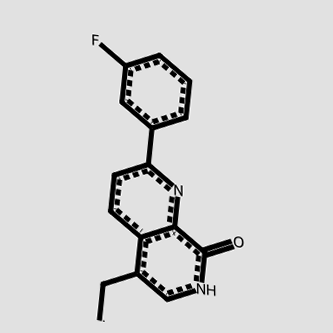 [CH2]Cc1c[nH]c(=O)c2nc(-c3cccc(F)c3)ccc12